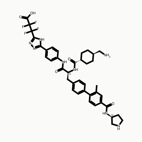 Cc1cc(C(=O)N[C@H]2CCNC2)ccc1-c1ccc(C[C@H](NC(=O)[C@H]2CC[C@H](CN)CC2)C(=O)Nc2ccc(-c3nnc(C(F)(F)C(F)(F)C(=O)O)[nH]3)cc2)cc1